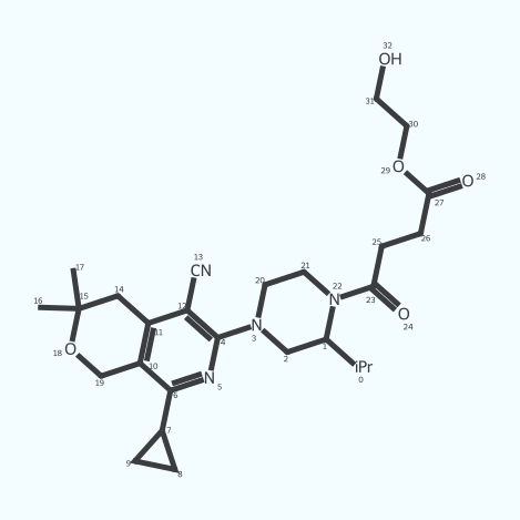 CC(C)C1CN(c2nc(C3CC3)c3c(c2C#N)CC(C)(C)OC3)CCN1C(=O)CCC(=O)OCCO